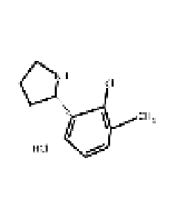 Cc1cccc([C@@H]2CCCN2)c1Cl.Cl